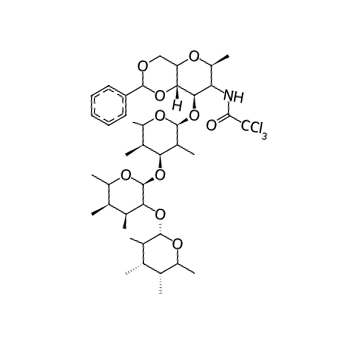 CC1[C@H](OC2[C@H](O[C@@H]3C(C)[C@H](O[C@@H]4C(NC(=O)C(Cl)(Cl)Cl)[C@H](C)OC5COC(c6ccccc6)O[C@H]54)OC(C)[C@@H]3C)OC(C)[C@H](C)[C@@H]2C)OC(C)[C@H](C)[C@@H]1C